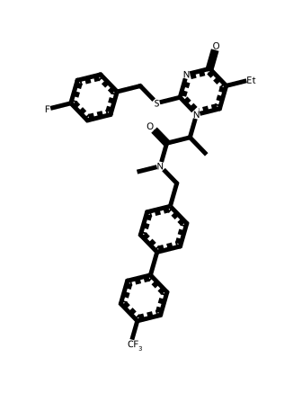 CCc1cn(C(C)C(=O)N(C)Cc2ccc(-c3ccc(C(F)(F)F)cc3)cc2)c(SCc2ccc(F)cc2)nc1=O